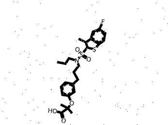 CCCN(CCCc1cccc(OC(C)(C)C(=O)O)c1)S(=O)(=O)C1Sc2ccc(F)cc2C1C